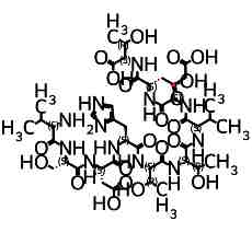 CC(C)[C@H](N)C(=O)N[C@@H](CO)C(=O)N[C@@H](CC(=O)O)C(=O)N[C@@H](Cc1c[nH]cn1)C(=O)N[C@H](C(=O)N[C@H](C(=O)N[C@H](C(=O)N[C@@H](CCC(=O)O)C(=O)N[C@@H](CC(=O)O)C(=O)N[C@H](C(=O)O)[C@@H](C)O)C(C)C)[C@@H](C)O)[C@@H](C)O